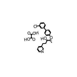 C[C@H](Oc1ccc(-c2cccc(Cl)c2)cc1)[C@H](O)CCc1cccnc1.O=C(O)C(=O)O